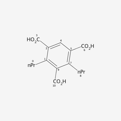 CCCc1c(C(=O)O)cc(C(=O)O)c(CCC)c1C(=O)O